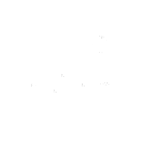 COc1cccc(-c2nc(C(F)(F)F)cn2-c2ccc(S(N)(=O)=O)cc2)n1